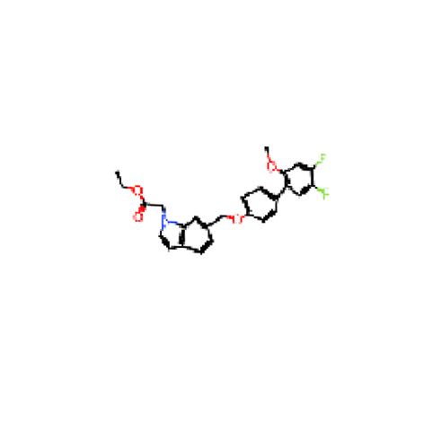 CCOC(=O)Cn1ccc2ccc(COc3ccc(-c4cc(F)c(F)cc4OC)cc3)cc21